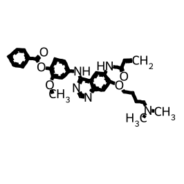 C=CC(=O)Nc1cc2c(Nc3ccc(OC(=O)c4ccccc4)c(OC)c3)ncnc2cc1OCCCCN(C)C